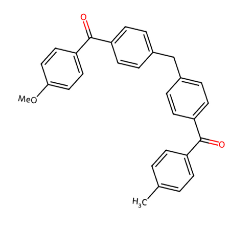 COc1ccc(C(=O)c2ccc(Cc3ccc(C(=O)c4ccc(C)cc4)cc3)cc2)cc1